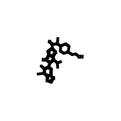 Cc1c(-c2[nH]c3cc(C(=O)N(C)C4CCN(CCO)CC4)sc3c2C(C)C)cn2ncnc2c1C